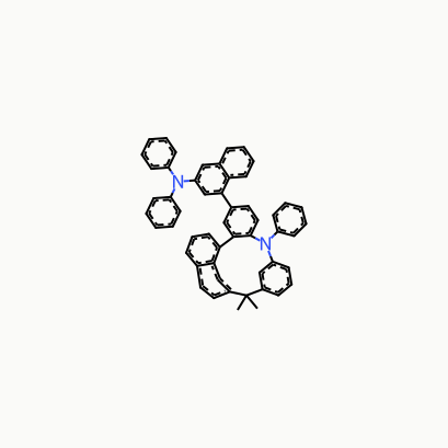 CC1(C)c2cccc(c2)N(c2ccccc2)c2ccc(-c3cc(N(c4ccccc4)c4ccccc4)cc4ccccc34)cc2-c2cccc3ccc1cc23